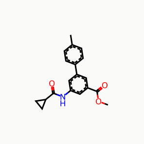 COC(=O)c1cc(NC(=O)C2CC2)cc(-c2ccc(C)cc2)c1